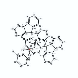 Brc1ccc(C2(c3cccc(C4(c5ccc(Br)cc5)c5ccccc5-c5ccccc54)n3)c3ccccc3-c3ccccc32)cc1.Cc1ccccc1